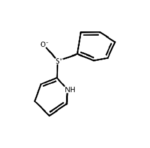 [O-][S+](C1=CCC=CN1)c1ccccc1